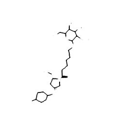 CC(=O)NC1C(OCCCCCC(=O)N2C[C@H](OC3CCC(C)CC3)C[C@H]2CO)OC(CO)C(O)C1O